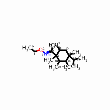 CCO/N=C(\C)C1(C)C(C)CC(C)(C(C)C)C(C)C1C